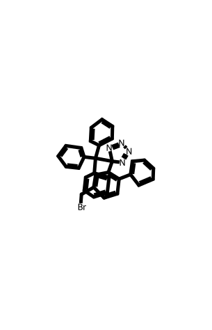 BrCc1ccc(-c2ccccc2)c(C2(C(c3ccccc3)(c3ccccc3)c3ccccc3)N=NN=N2)c1